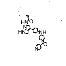 O=C(Nc1cc(-c2ccc(NC3CCN(C(=O)c4ccncc4)CC3)cc2)c2cc[nH]c2n1)C1CC1